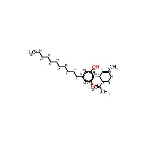 C=C(C)[C@@H]1CCC(C)=C[C@H]1c1c(O)cc(CCCCCCCCCCC)cc1O